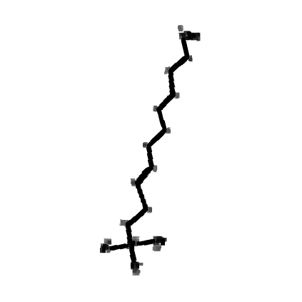 CCCCCCCCCCCCCCCCCCCC[N+]([O-])(C(C)C)C(C)C